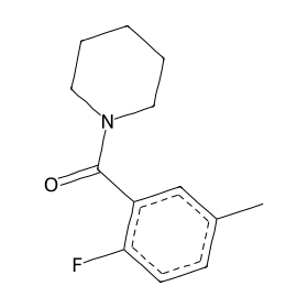 Cc1ccc(F)c(C(=O)N2CCCCC2)c1